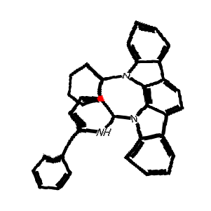 C1=CC(n2c3ccccc3c3ccc4c5ccccc5n(C5CCCCC5)c4c32)NC(c2ccccc2)=C1